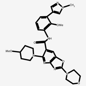 COc1c(NC(=O)c2cc3oc(N4CCOCC4)nc3nc2N2CCC(OC)CC2)cccc1-c1cnn(C)c1